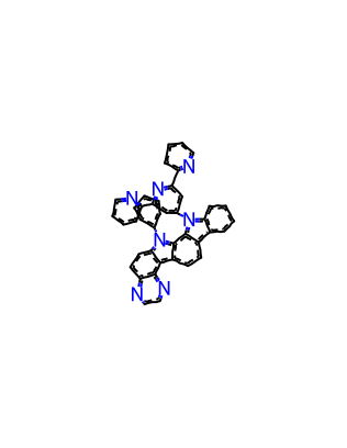 c1ccc(-n2c3ccc4nccnc4c3c3ccc4c5ccccc5n(-c5cc(-c6ccccn6)nc(-c6ccccn6)c5)c4c32)cc1